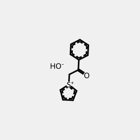 O=C(C[s+]1cccc1)c1ccccc1.[OH-]